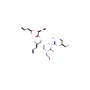 C=C=C(O/C(=C/C=C)C(C)(C)C)C(=O)N[C@H](CCN(CCO)C(C)N(C)/C(=N\C)N/C(C=N)=C/C)/C(C)=C/C=C